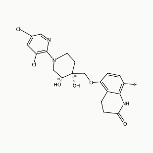 O=C1CCc2c(OC[C@]3(O)CCN(c4ncc(Cl)cc4Cl)C[C@H]3O)ccc(F)c2N1